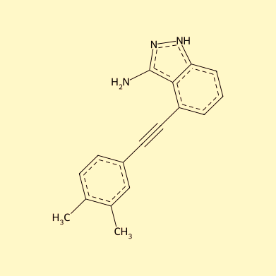 Cc1ccc(C#Cc2cccc3[nH]nc(N)c23)cc1C